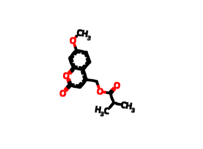 COc1ccc2c(COC(=O)C(C)C)cc(=O)oc2c1